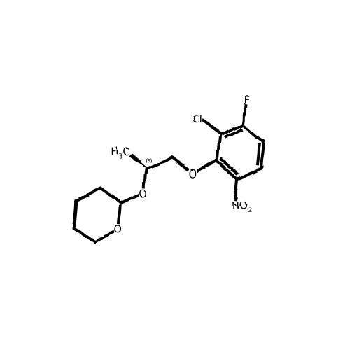 C[C@@H](COc1c([N+](=O)[O-])ccc(F)c1Cl)OC1CCCCO1